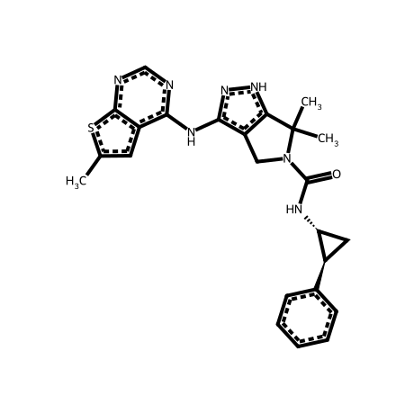 Cc1cc2c(Nc3n[nH]c4c3CN(C(=O)N[C@@H]3C[C@H]3c3ccccc3)C4(C)C)ncnc2s1